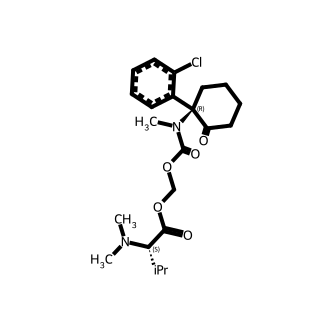 CC(C)[C@@H](C(=O)OCOC(=O)N(C)[C@@]1(c2ccccc2Cl)CCCCC1=O)N(C)C